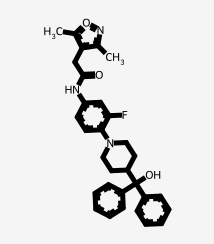 Cc1noc(C)c1CC(=O)Nc1ccc(N2CCC(C(O)(c3ccccc3)c3ccccc3)CC2)c(F)c1